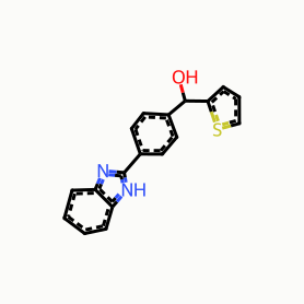 OC(c1ccc(-c2nc3ccccc3[nH]2)cc1)c1cccs1